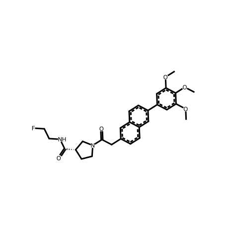 COc1cc(-c2ccc3cc(CC(=O)N4CC[C@H](C(=O)NCCF)C4)ccc3c2)cc(OC)c1OC